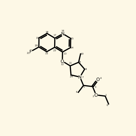 CCOC(=O)C(C)N1CC(C)C(Oc2ccnc3ccc(F)cc23)C1